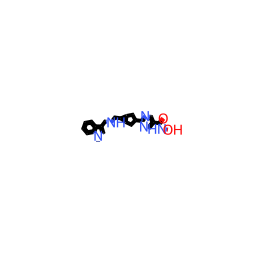 Cn1cc(CNCC2C3CC(c4ncc(C(=O)NO)cn4)CC23)c2ccccc21